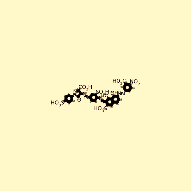 O=C(O)C1=NN(c2ccc(S(=O)(=O)O)cc2)C(=O)C1/N=N/c1ccc(/N=N/c2c(S(=O)(=O)O)cc3ccc(/N=N/c4ccc([N+](=O)[O-])c(C(=O)O)c4)c(O)c3c2O)c(S(=O)(=O)O)c1